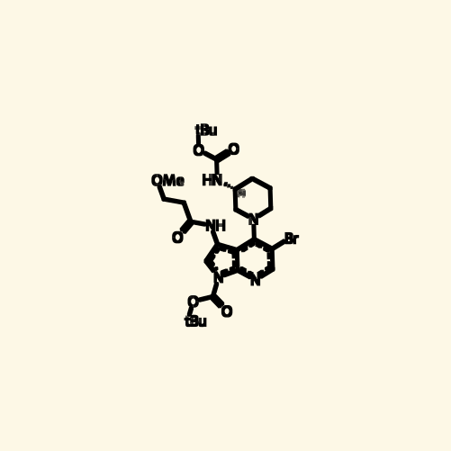 COCCC(=O)Nc1cn(C(=O)OC(C)(C)C)c2ncc(Br)c(N3CCC[C@@H](NC(=O)OC(C)(C)C)C3)c12